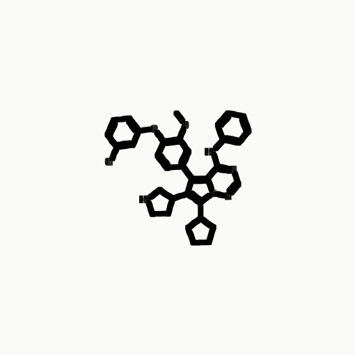 COc1cc(-c2c(C3CCNC3)c(C3CCCC3)n3ncnc(Nc4ccccc4)c23)ccc1Oc1cccc(Cl)c1